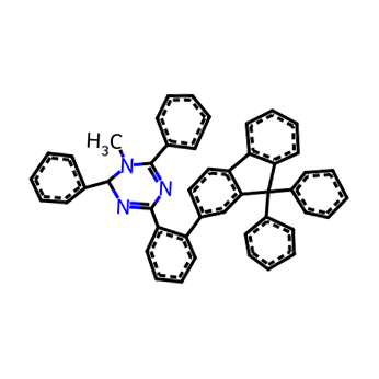 CN1C(c2ccccc2)=NC(c2ccccc2-c2ccc3c(c2)C(c2ccccc2)(c2ccccc2)c2ccccc2-3)=NC1c1ccccc1